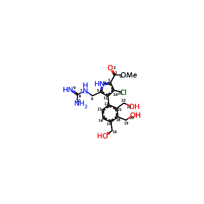 COC(=O)c1[nH]c(CNC(=N)N)c(-c2ccc(CO)c(CO)c2CO)c1Cl